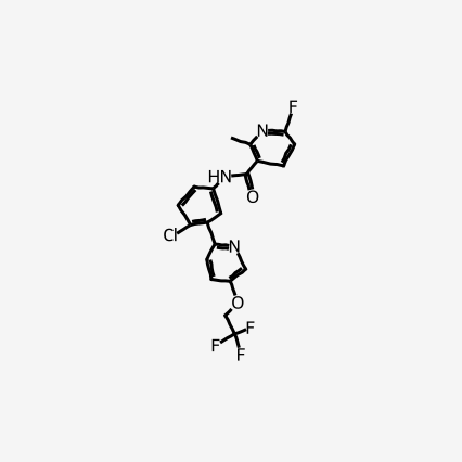 Cc1nc(F)ccc1C(=O)Nc1ccc(Cl)c(-c2ccc(OCC(F)(F)F)cn2)c1